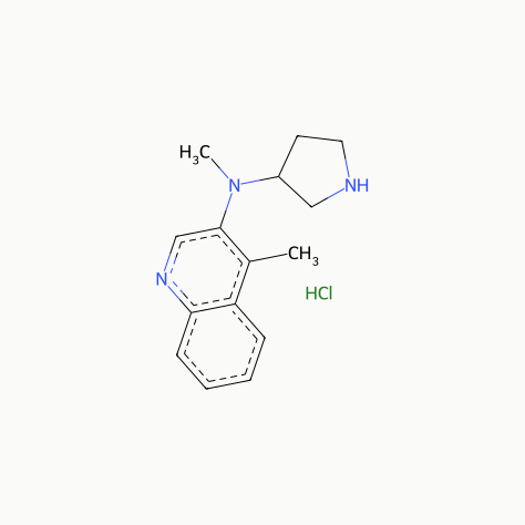 Cc1c(N(C)C2CCNC2)cnc2ccccc12.Cl